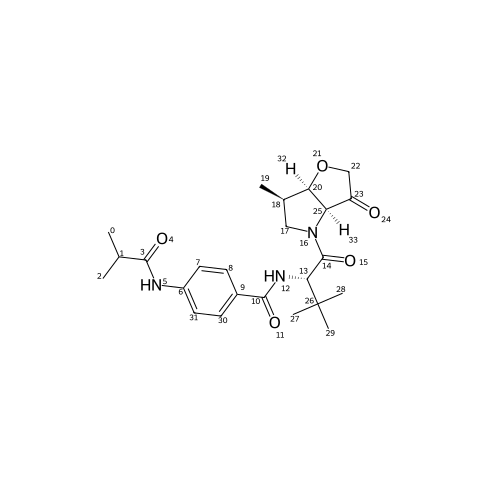 CC(C)C(=O)Nc1ccc(C(=O)N[C@H](C(=O)N2C[C@@H](C)[C@H]3OCC(=O)[C@H]32)C(C)(C)C)cc1